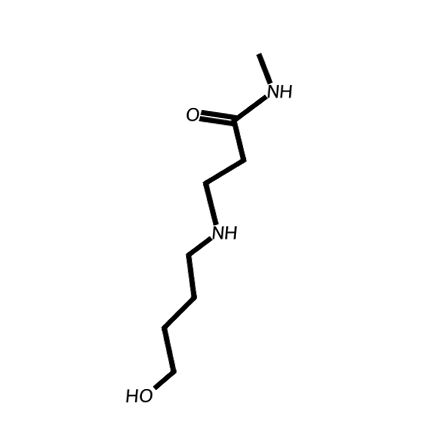 CNC(=O)CCNCCCCO